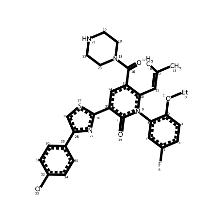 CCOc1ccc(F)cc1-n1c(C=C(C)C)c(C(=O)N2CCNCC2)cc(-c2nc(-c3ccc(Cl)cc3)cs2)c1=O